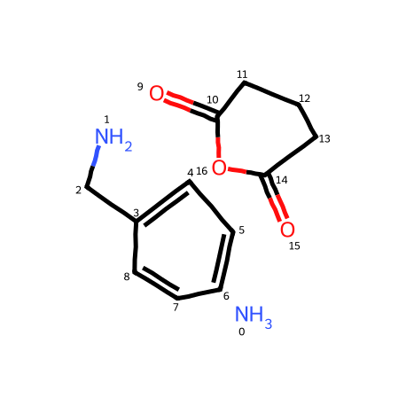 N.NCc1ccccc1.O=C1CCCC(=O)O1